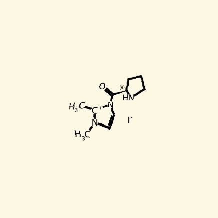 C[c+]1n(C)ccn1C(=O)[C@H]1CCCN1.[I-]